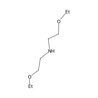 CCOCCNCCOCC